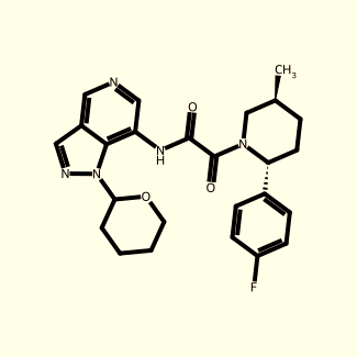 C[C@H]1CC[C@H](c2ccc(F)cc2)N(C(=O)C(=O)Nc2cncc3cnn(C4CCCCO4)c23)C1